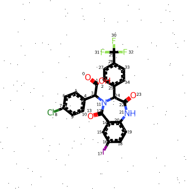 O=C(O)C(c1ccc(Cl)cc1)N1C(=O)c2cc(I)ccc2NC(=O)C1c1ccc(C(F)(F)F)cc1